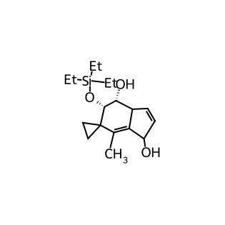 CC[Si](CC)(CC)O[C@@H]1[C@H](O)C2C=CC(O)C2=C(C)C12CC2